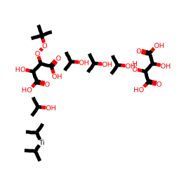 CC(C)(C)OOC(C(=O)O)C(O)C(=O)O.CC(C)O.CC(C)O.CC(C)O.CC(C)O.C[CH](C)[Ti][CH](C)C.O=C(O)C(O)C(O)C(=O)O